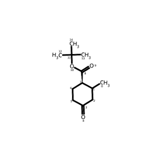 CC1CC(=O)CC[C@H]1C(=O)OC(C)(C)C